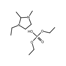 CCN1CCN(C)C1C.CCOP(=O)(O)OCC